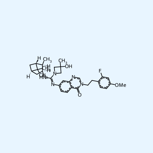 COc1ccc(CCn2cnc3cc(N=C(N[C@H]4C[C@H]5C[C@H]([C@H]4C)C5(C)C)N4CC(C)(O)C4)ccc3c2=O)c(F)c1